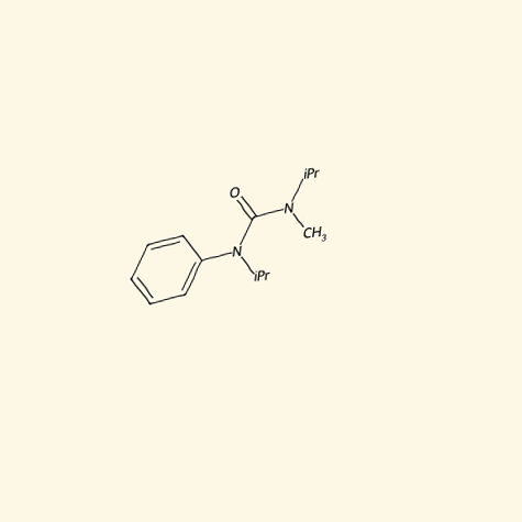 CC(C)N(C)C(=O)N(c1ccccc1)C(C)C